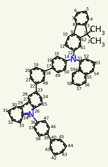 CC1(C)c2ccccc2-c2ccc(N(c3ccc(-c4cccc(-c5ccc6c(c5)c5ccccc5n6-c5ccc(-c6ccccc6)cc5)c4)cc3)c3cccc4ccccc34)cc21